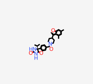 Cc1cc(C)c2c(C3CCN(C(=O)c4ccc([C@@]5(C(C)C)NC(=O)NC5=O)cc4)CC3)coc2c1